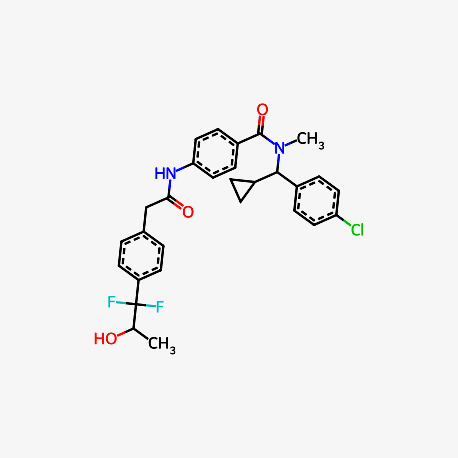 CC(O)C(F)(F)c1ccc(CC(=O)Nc2ccc(C(=O)N(C)C(c3ccc(Cl)cc3)C3CC3)cc2)cc1